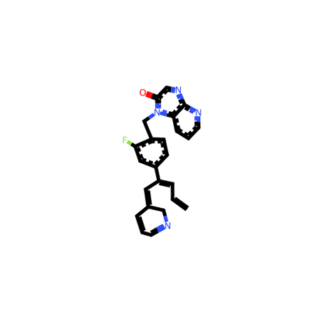 C=C/C=C(\C=C1\C=CC=NC1)c1ccc(Cn2c(=O)cnc3ncccc32)c(F)c1